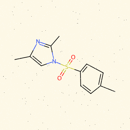 Cc1ccc(S(=O)(=O)n2cc(C)nc2C)cc1